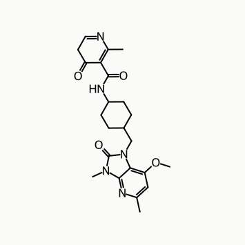 COc1cc(C)nc2c1n(CC1CCC(NC(=O)C3=C(C)N=CCC3=O)CC1)c(=O)n2C